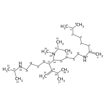 C=C(CCCCC(C)C)NCCCCC(C(CCCCNC(C)C)C(=C)C(C)C)N(C)C(C)C